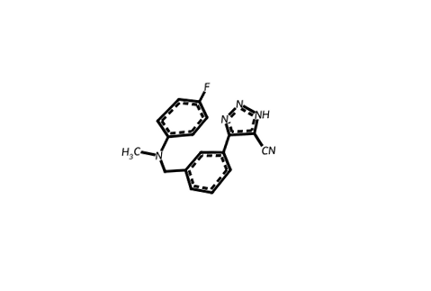 CN(Cc1cccc(-c2nn[nH]c2C#N)c1)c1ccc(F)cc1